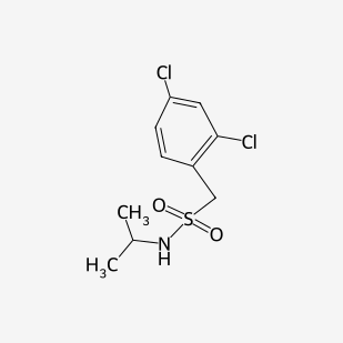 CC(C)NS(=O)(=O)Cc1ccc(Cl)cc1Cl